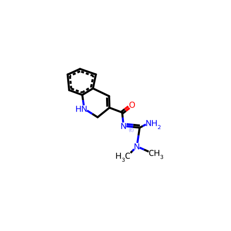 CN(C)/C(N)=N/C(=O)C1=Cc2ccccc2NC1